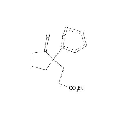 CCOC(=O)CCC1(c2ccccc2)CCCC1=O